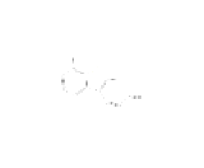 C=C/C=C\c1c(C)sc2c(C)cccc12